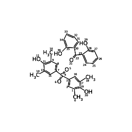 Cc1cc(S(=O)(=O)c2cc(C)c(O)c(C)c2)cc(C)c1O.O=C(c1ccccc1O)c1ccccc1O